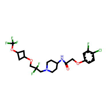 O=C(COc1ccc(Cl)c(F)c1)NC1CCN(CC(F)(F)COC2CC(OC(F)(F)F)C2)CC1